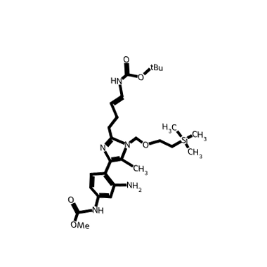 COC(=O)Nc1ccc(-c2nc(CCC=CNC(=O)OC(C)(C)C)n(COCC[Si](C)(C)C)c2C)c(N)c1